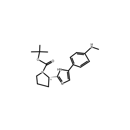 CBc1ccc(-c2cnc([C@@H]3CCCN3C(=O)OC(C)(C)C)[nH]2)cc1